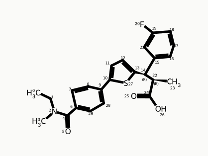 CCN(C)C(=O)c1ccc(-c2ccc([C@@H](c3cccc(F)c3)[C@@H](C)C(=O)O)s2)cc1